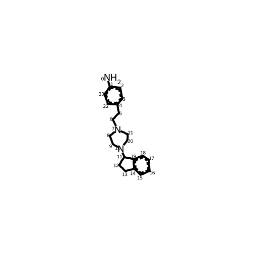 Nc1ccc(CCN2CCN(C3CCc4ccccc43)CC2)cc1